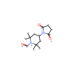 CC1(C)CC(N2C(=O)CCC2=O)CC(C)(C)N1C=O